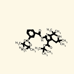 CC1(C)Cc2c(sc(NC(=O)c3cccc(B4OC(C)(C)C(C)(C)O4)c3)c2C(=O)OC(C)(C)C)C(C)(C)N1